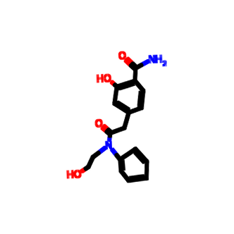 NC(=O)c1ccc(CC(=O)N(CCO)c2ccccc2)cc1O